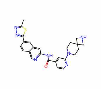 Cc1nnc(-c2ccc3cnc(NC(=O)c4ccnc(N5CCC6(CC5)CNC6)c4)cc3c2)s1